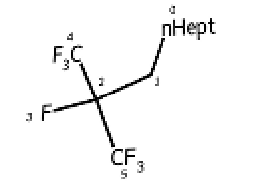 CCCCCCCCC(F)(C(F)(F)F)C(F)(F)F